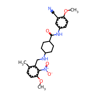 COc1ccc(NC(=O)C2CCC(NCc3c(C)ccc(OC)c3[N+](=O)[O-])CC2)cc1C#N